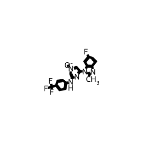 Cc1nc2ccc(F)cc2n1-c1c[n+]([O-])cc(Nc2ccc(C(F)(F)F)cc2)n1